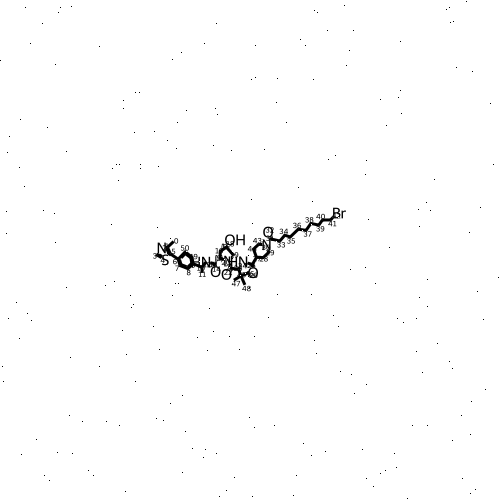 Cc1ncsc1-c1ccc(C(C)NC(=O)[C@@H]2C[C@@H](O)CN2C(=O)C(NC(=O)C2CCN(C(=O)CCCCCCCCCBr)CC2)C(C)(C)C)cc1